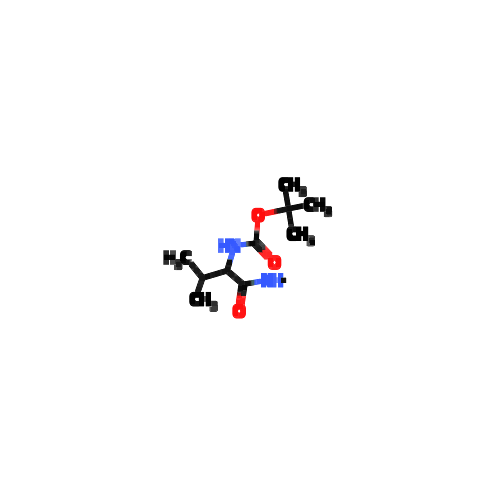 CC(C)C(NC(=O)OC(C)(C)C)C([NH])=O